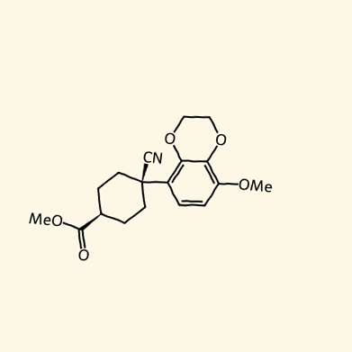 COc1ccc([C@]2(C#N)CC[C@@H](C(=O)OC)CC2)c2c1OCCO2